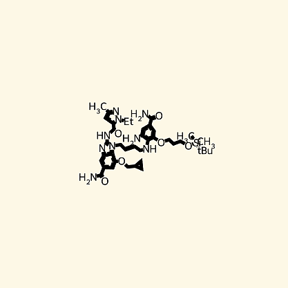 CCn1nc(C)cc1C(=O)Nc1nc2cc(C(N)=O)cc(OCC3CC3)c2n1CC=CCNc1c(N)cc(C(N)=O)cc1OCCCO[Si](C)(C)C(C)(C)C